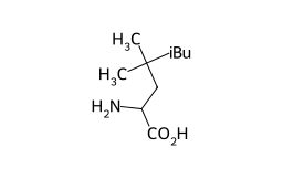 CCC(C)C(C)(C)CC(N)C(=O)O